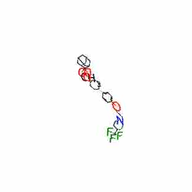 COC1(OO[C@H]2CC[C@@H](c3ccc(OCCN4CCC(C(F)(F)F)CC4)cc3)CC2)C2CC3CC(C2)CC1C3